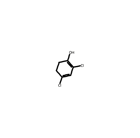 OC1=C(Cl)C=C(Cl)C[CH]1